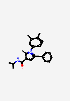 Cc1ccc(-n2c(-c3ccccc3)cc(C(=O)NC(C)C)c2C)cc1C